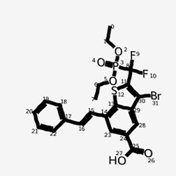 CCOP(=O)(OCC)C(F)(F)c1sc2c(/C=C/c3ccccc3)cc(C(=O)O)cc2c1Br